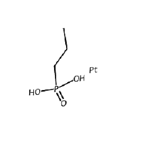 CCCP(=O)(O)O.[Pt]